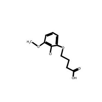 COc1[c]ccc(OCCCC(=O)O)c1Cl